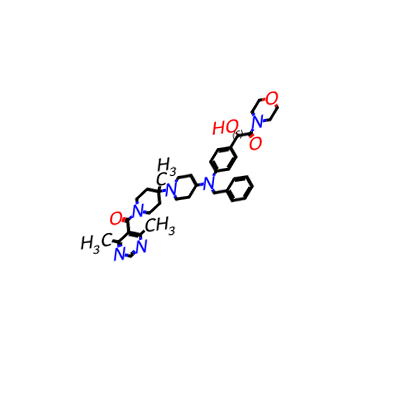 Cc1ncnc(C)c1C(=O)N1CCC(C)(N2CCC(N(Cc3ccccc3)c3ccc([C@H](O)C(=O)N4CCOCC4)cc3)CC2)CC1